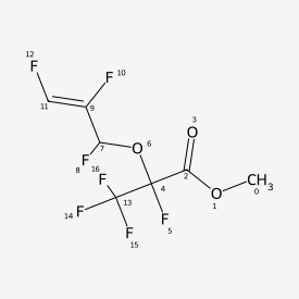 COC(=O)C(F)(OC(F)C(F)=CF)C(F)(F)F